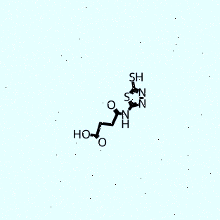 O=C(O)CCC(=O)Nc1nnc(S)s1